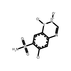 NS(=O)(=O)c1cc2c(cc1Cl)N=C[NH+]([O-])[S+]2[O-]